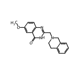 COc1ccc2nc(CN3CCc4ccccc4C3)[nH]c(=O)c2c1